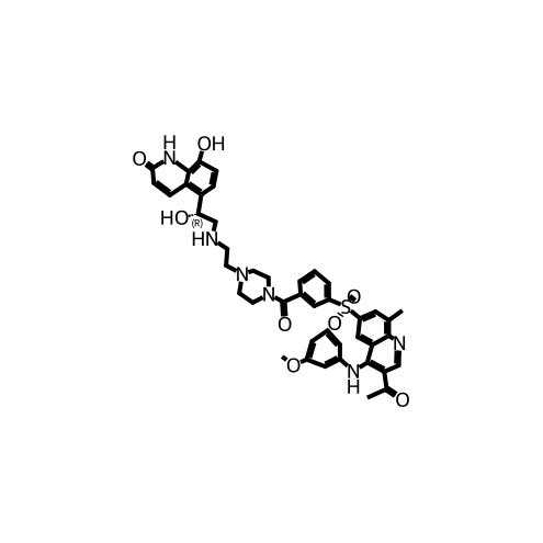 COc1cccc(Nc2c(C(C)=O)cnc3c(C)cc(S(=O)(=O)c4cccc(C(=O)N5CCN(CCNC[C@H](O)c6ccc(O)c7[nH]c(=O)ccc67)CC5)c4)cc23)c1